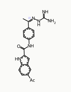 CC(=O)c1ccc2[nH]c(C(=O)Nc3ccc(/C(C)=N\NC(=N)N)cc3)cc2c1